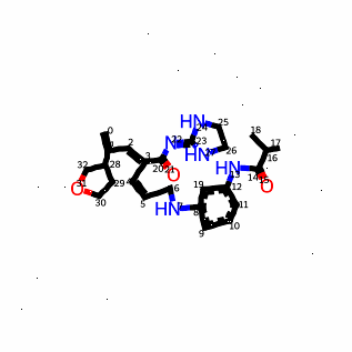 C=C(/C=C(\C=C/CNc1cccc(NC(=O)C(C)C)c1)C(=O)N=C1NCCN1)C1CCOC1